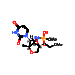 COCC[C@@]12CO[C@H]([C@H](n3ccc(=O)[nH]c3=O)O1)[C@@H]2NP(=O)(O)OC